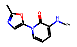 Cc1ncc(-n2cccc(NC(C)C)c2=O)o1